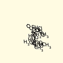 COc1cc(-c2nc(NC(=O)c3[nH]c4c(C)cc(C)cc4c3CC(N)OC(C)=O)sc2CCC2CCCCC2)c(OC)cc1Cl.O